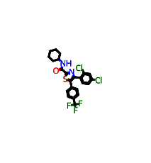 O=C(NC1CCCCC1)c1nc(-c2ccc(Cl)cc2Cl)c(-c2ccc(C(F)(F)F)cc2)s1